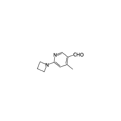 Cc1cc(N2CCC2)ncc1C=O